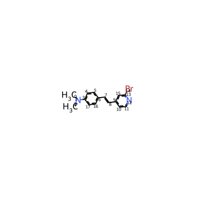 CN(C)c1ccc(/C=C/c2ccnc(Br)c2)cc1